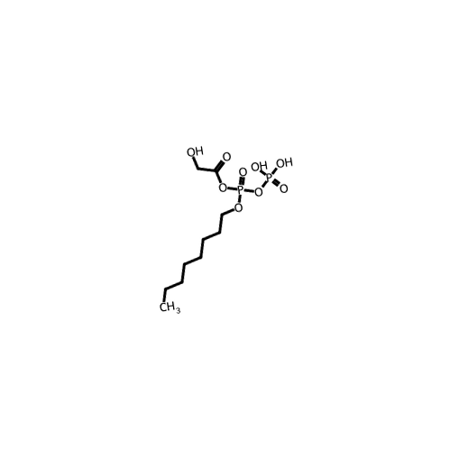 CCCCCCCCOP(=O)(OC(=O)CO)OP(=O)(O)O